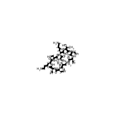 CC[C@H](C)[C@H](NC(=O)[C@H](CS)NC(=O)[C@H](CCCCN)NC(=O)[C@H](CC(C)C)NC(=O)[C@H](CC(C)C)NC(=O)[C@@H](N)CS)C(=O)N[C@@H](CCCCN)C(=O)N[C@H](C(=O)N[C@@H](CC(C)C)C(=O)N[C@@H](CC(C)C)C(N)=O)[C@@H](C)O